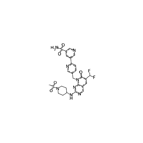 CS(=O)(=O)N1CCC(Nc2ncc3cc(C(F)F)c(=O)n(Cc4ccc(-c5cncc(S(N)(=O)=O)c5)nc4)c3n2)CC1